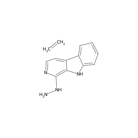 C=C.NNc1nccc2c1[nH]c1ccccc12